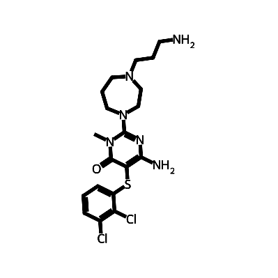 Cn1c(N2CCCN(CCCN)CC2)nc(N)c(Sc2cccc(Cl)c2Cl)c1=O